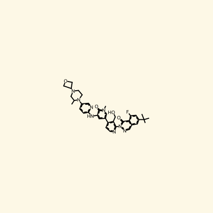 CC1CN(C2COC2)CCN1c1ccc(Nc2cc(-c3ccnc(-n4ncc5cc(C(C)(C)C)cc(F)c5c4=O)c3CO)cn(C)c2=O)nc1